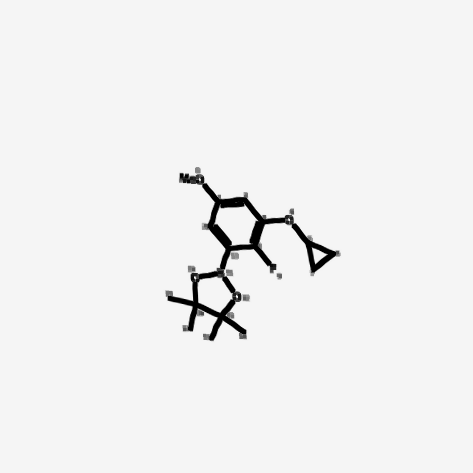 COc1cc(OC2CC2)c(F)c(B2OC(C)(C)C(C)(C)O2)c1